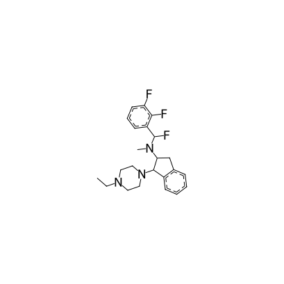 CCN1CCN(C2c3ccccc3CC2N(C)C(F)c2cccc(F)c2F)CC1